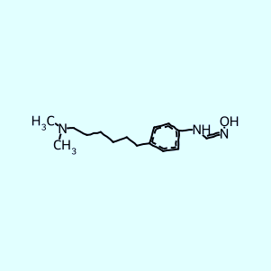 CN(C)CCCCCCc1ccc(N/C=N\O)cc1